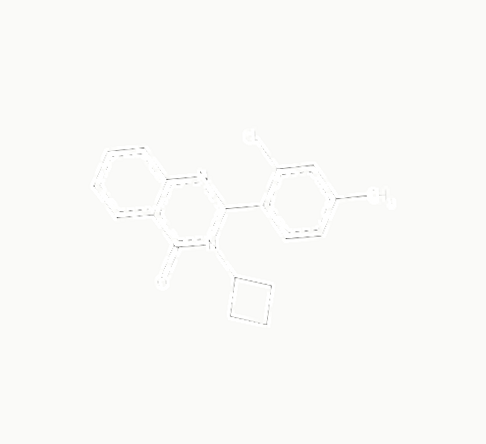 Cc1ccc(-c2nc3ccccc3c(=O)n2C2CCC2)c(Cl)c1